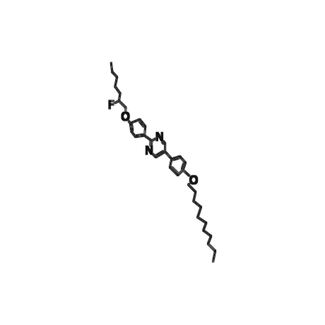 CCCCCCCCCCCOc1ccc(-c2cnc(-c3ccc(OCC(F)CCCCC)cc3)nc2)cc1